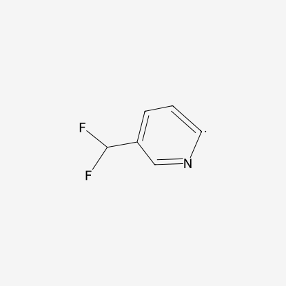 FC(F)c1cc[c]nc1